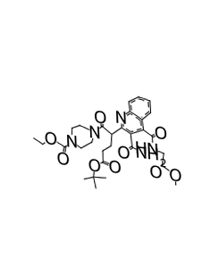 CCOC(=O)N1CCN(C(=O)C(CCC(=O)OC(C)(C)C)c2nc3ccccc3c(C(=O)NCC(=O)OC)c2C(N)=O)CC1